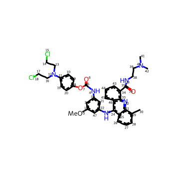 COc1cc(NC(=O)Oc2ccc(N(CCCl)CCCl)cc2)cc(Nc2c3cccc(C)c3nc3c(C(=O)NCCN(C)C)cccc23)c1